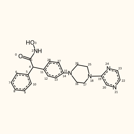 O=C(NO)C(c1ccccc1)c1ccc(N2CCN(c3cnccn3)CC2)cc1